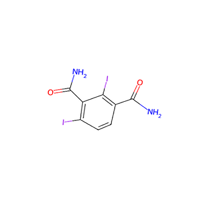 NC(=O)c1ccc(I)c(C(N)=O)c1I